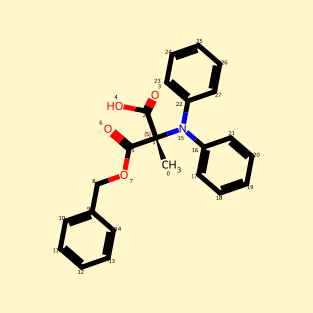 C[C@](C(=O)O)(C(=O)OCc1ccccc1)N(c1ccccc1)c1ccccc1